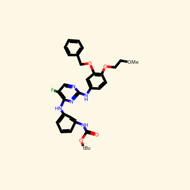 COCCOc1ccc(Nc2ncc(F)c(Nc3cccc(NC(=O)OC(C)(C)C)c3)n2)cc1OCc1ccccc1